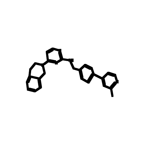 Cc1cc(-c2ccc(CNc3nccc(N4CCc5ccccc5C4)n3)cc2)ccn1